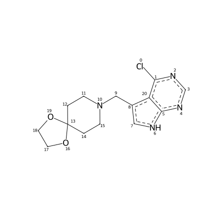 Clc1ncnc2[nH]cc(CN3CCC4(CC3)OCCO4)c12